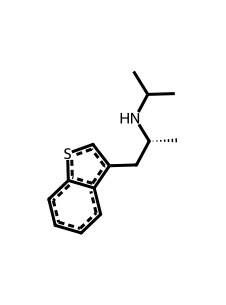 CC(C)N[C@H](C)Cc1csc2ccccc12